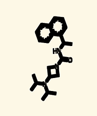 CC(NC(=O)N1CC(N(C(C)C)C(C)C)C1)c1cccc2ccccc12